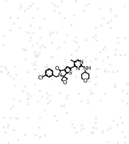 Cc1cnc(NC2CCOCC2)nc1-c1cc2c(s1)C1(COC1)N(Cc1cccc(Cl)c1)C2=O